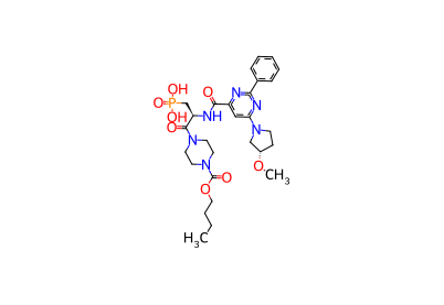 CCCCOC(=O)N1CCN(C(=O)[C@@H](CP(=O)(O)O)NC(=O)c2cc(N3CC[C@H](OC)C3)nc(-c3ccccc3)n2)CC1